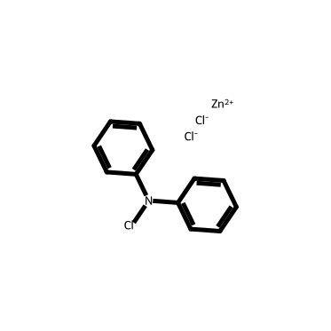 ClN(c1ccccc1)c1ccccc1.[Cl-].[Cl-].[Zn+2]